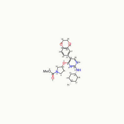 COC(=O)N1CCC(Oc2nc(N[C@H]3CC[C@@H](C)CC3)ncc2-c2ccc3c(c2)OCCO3)C1